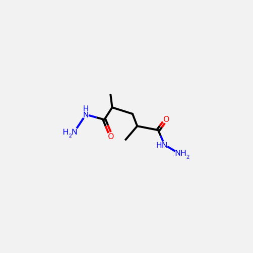 CC(CC(C)C(=O)NN)C(=O)NN